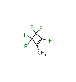 FC1=C(C(F)(F)F)C(F)(F)C1(F)F